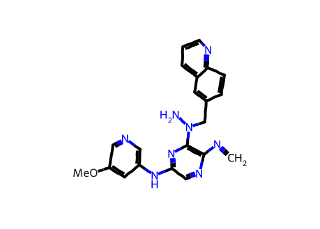 C=Nc1ncc(Nc2cncc(OC)c2)nc1N(N)Cc1ccc2ncccc2c1